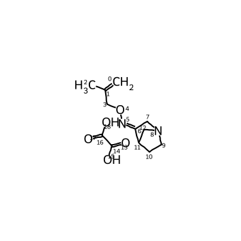 C=C(C)CO/N=C1\CN2CCC1C2.O=C(O)C(=O)O